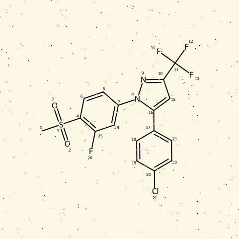 CS(=O)(=O)c1ccc(-n2nc(C(F)(F)F)cc2-c2ccc(Cl)cc2)cc1F